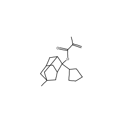 C=C(C)C(=O)OC1(C2CCCC2)C2CC3CC1CC(C)(C3)C2